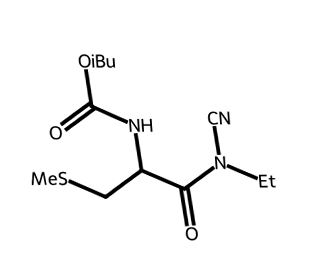 CCN(C#N)C(=O)C(CSC)NC(=O)OCC(C)C